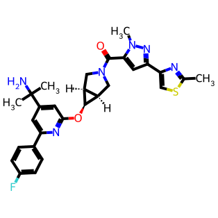 Cc1nc(-c2cc(C(=O)N3C[C@@H]4[C@H](C3)[C@@H]4Oc3cc(C(C)(C)N)cc(-c4ccc(F)cc4)n3)n(C)n2)cs1